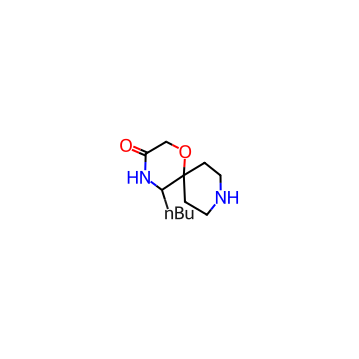 CCCCC1NC(=O)COC12CCNCC2